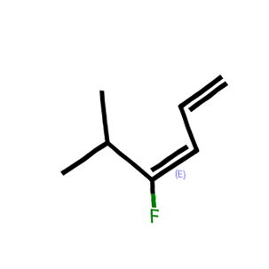 C=C/C=C(/F)C(C)C